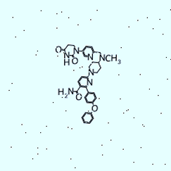 CN(Cc1ccc(N2CCC(=O)NC2=O)cn1)C1CCN(c2ccc(C(N)=O)c(-c3ccc(Oc4ccccc4)cc3)n2)CC1